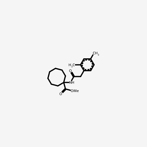 COC(=O)C1(NC(=O)Cc2ccc(C)cc2C)CCCCCCC1